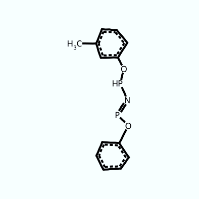 Cc1cccc(OPN=POc2ccccc2)c1